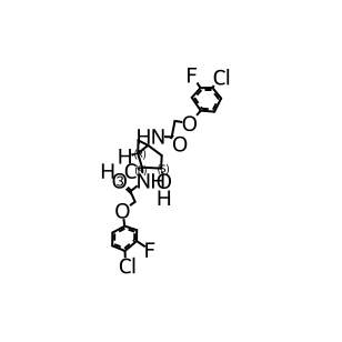 C[C@@]1(NC(=O)COc2ccc(Cl)c(F)c2)[C@@H]2CC2(NC(=O)COc2ccc(Cl)c(F)c2)C[C@@H]1O